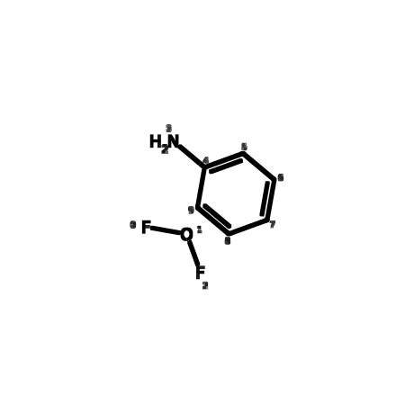 FOF.Nc1ccccc1